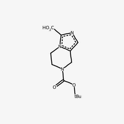 CC(C)(C)OC(=O)N1CCn2c(cnc2C(=O)O)C1